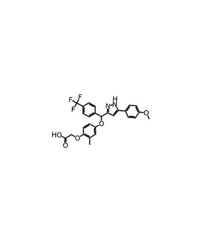 COc1ccc(-c2cc(C(Oc3ccc(OCC(=O)O)c(C)c3)c3ccc(C(F)(F)F)cc3)n[nH]2)cc1